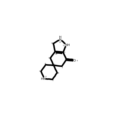 O=C1CC2(CCNCC2)CC2=C1NNC2